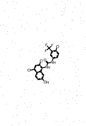 O=C(Nc1ccc(Cl)c(C(F)(F)F)c1)Nc1c(Cl)cc(Cl)c2ccc(O)cc12